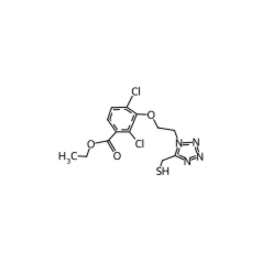 CCOC(=O)c1ccc(Cl)c(OCCn2nnnc2CS)c1Cl